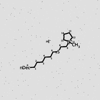 CCCCCCCCCCCCCCCCSCC[N+]1(C)CCCC1.[I-]